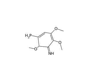 COC1=C(OC)C(=N)C(OC)C(P)=C1